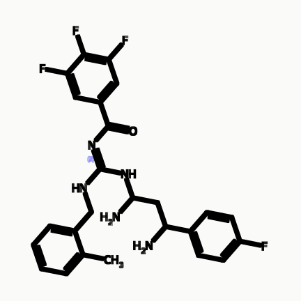 Cc1ccccc1CN/C(=N/C(=O)c1cc(F)c(F)c(F)c1)NC(N)CC(N)c1ccc(F)cc1